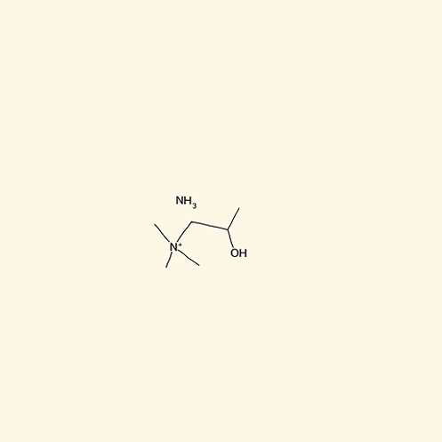 CC(O)C[N+](C)(C)C.N